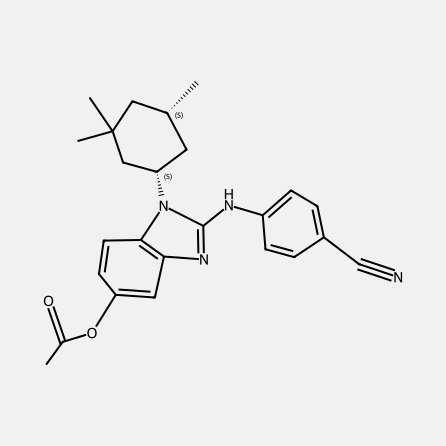 CC(=O)Oc1ccc2c(c1)nc(Nc1ccc(C#N)cc1)n2[C@H]1C[C@@H](C)CC(C)(C)C1